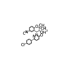 [C-]#[N+]c1ccc2c(c1)[C@@H](n1nc(-c3ccc(Cl)cc3)ccc1=O)[C@H](O)C(C)(C)O2